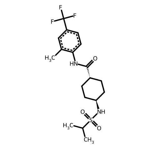 Cc1cc(C(F)(F)F)ccc1NC(=O)[C@H]1CC[C@H](NS(=O)(=O)C(C)C)CC1